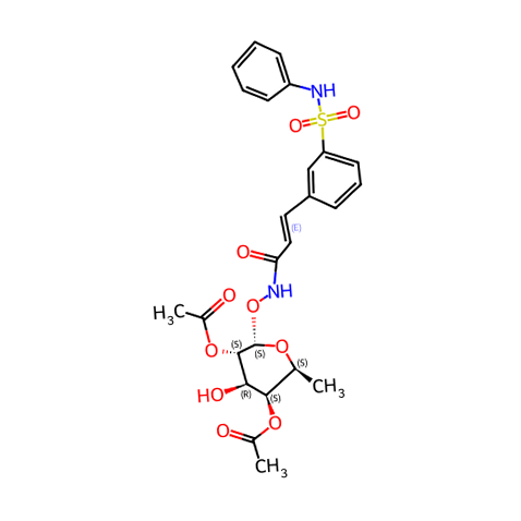 CC(=O)O[C@@H]1[C@H](ONC(=O)/C=C/c2cccc(S(=O)(=O)Nc3ccccc3)c2)O[C@@H](C)[C@@H](OC(C)=O)[C@H]1O